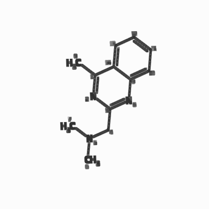 Cc1nc(CN(C)C)nc2ccccc12